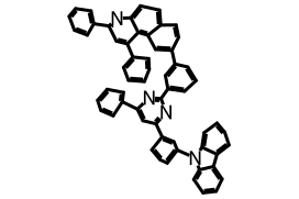 c1ccc(-c2cc(-c3cccc(-n4c5ccccc5c5ccccc54)c3)nc(-c3cccc(-c4ccc5ccc6nc(-c7ccccc7)cc(-c7ccccc7)c6c5c4)c3)n2)cc1